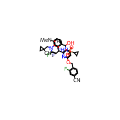 C=C/C=C(\C=C(\F)N(CC1(C)CC1)c1cc(C(O)NS(=O)(=O)C2CC2)ccc1NC)c1cccc(OCc2ccc(C#N)cc2F)n1